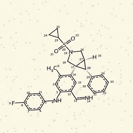 Cc1cc(Nc2ccc(F)cc2)c(C=N)cc1[C@]12CN(S(=O)(=O)C3CC3)C[C@H]1[C@@H]2c1ccccc1